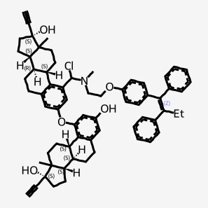 C#C[C@]1(O)CC[C@H]2[C@@H]3CCc4cc(O)cc(Oc5cc6c(c(C(Cl)N(C)CCOc7ccc(/C(=C(/CC)c8ccccc8)c8ccccc8)cc7)c5)[C@H]5CCC7(C)[C@@H](CC[C@@]7(O)C#C)[C@@H]5CC6)c4[C@H]3CCC21C